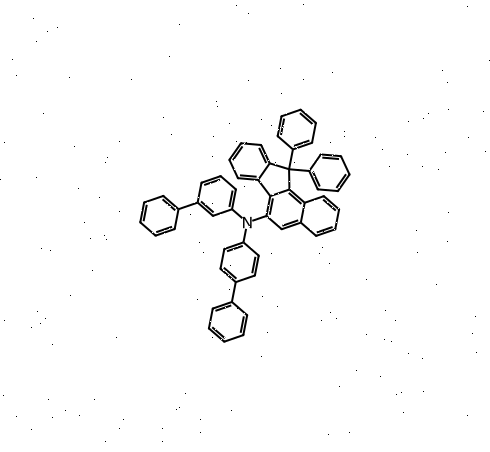 c1ccc(-c2ccc(N(c3cccc(-c4ccccc4)c3)c3cc4ccccc4c4c3-c3ccccc3C4(c3ccccc3)c3ccccc3)cc2)cc1